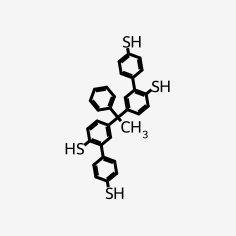 CC(c1ccccc1)(c1ccc(S)c(-c2ccc(S)cc2)c1)c1ccc(S)c(-c2ccc(S)cc2)c1